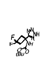 CC(C)(C)OC(=O)NC1(c2nn[nH]n2)CC(F)(F)C1